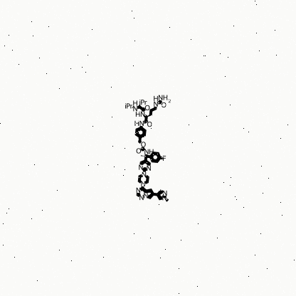 CC(C)N[C@H](C(=O)N[C@@H](CCCNC(N)=O)C(=O)Nc1ccc(COC(=O)N[C@@](C)(c2ccc(F)cc2)c2cnc(N3CCN(c4ncnn5cc(-c6cnn(C)c6)cc45)CC3)nc2)cc1)C(C)C